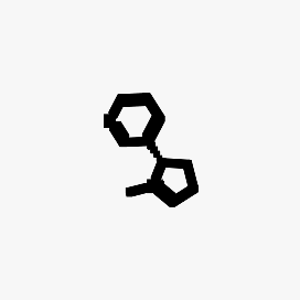 C[N+]1=CCC[C@H]1c1cccnc1